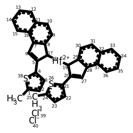 Cc1ccc(C2=Cc3c(ccc4ccccc34)[CH]2[Hf+2][CH]2C(c3ccc(C)s3)=Cc3c2ccc2ccccc32)s1.[Cl-].[Cl-]